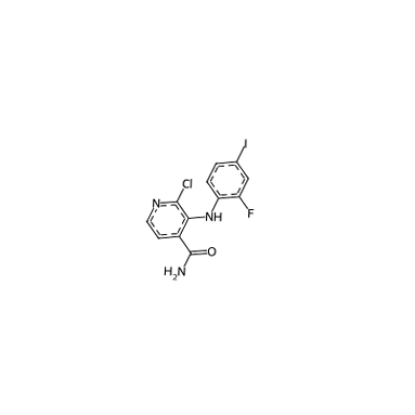 NC(=O)c1ccnc(Cl)c1Nc1ccc(I)cc1F